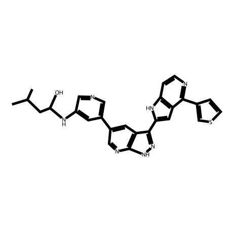 CC(C)CC(O)Nc1cncc(-c2cnc3[nH]nc(-c4cc5c(-c6ccsc6)nccc5[nH]4)c3c2)c1